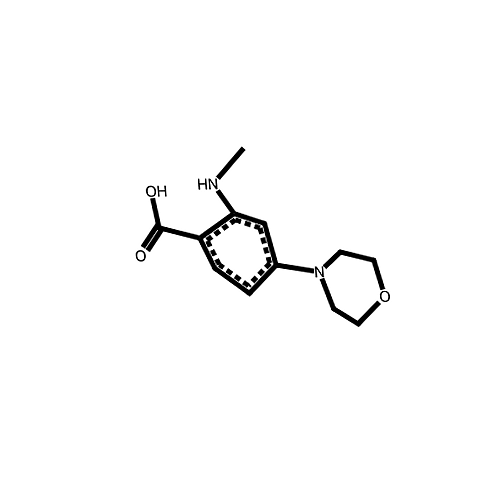 CNc1cc(N2CCOCC2)ccc1C(=O)O